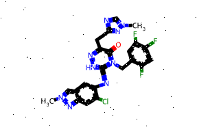 Cn1cnc(Cc2n[nH]c(=Nc3cc4cn(C)nc4cc3Cl)n(Cc3cc(F)c(F)cc3F)c2=O)n1